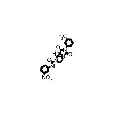 O=C1[C@H]2[C@H]3CC(CN3C(=O)Nc3cccc([N+](=O)[O-])c3)N2C(=O)N1c1cccc(C(F)(F)F)c1